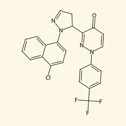 O=c1ccn(-c2ccc(C(F)(F)F)cc2)nc1C1CC=NN1c1ccc(Cl)c2ccccc12